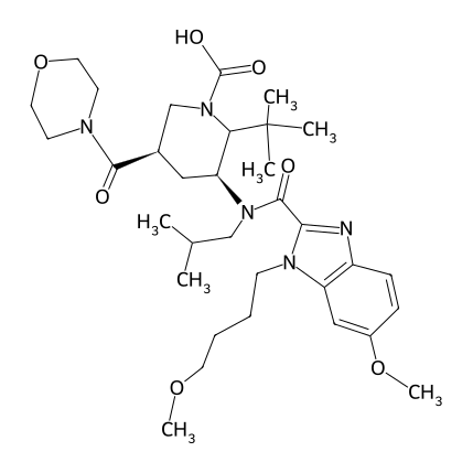 COCCCCn1c(C(=O)N(CC(C)C)[C@H]2C[C@@H](C(=O)N3CCOCC3)CN(C(=O)O)C2C(C)(C)C)nc2ccc(OC)cc21